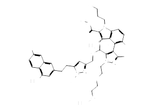 COCCOCCn1nc(C)c(-c2c(Cl)ccc3c2c(C)c(C(=O)OC)n3CCCO)c1C(C)OCc1cc(CCc2cc(O)c3ccc(F)cc3c2)n(C)n1